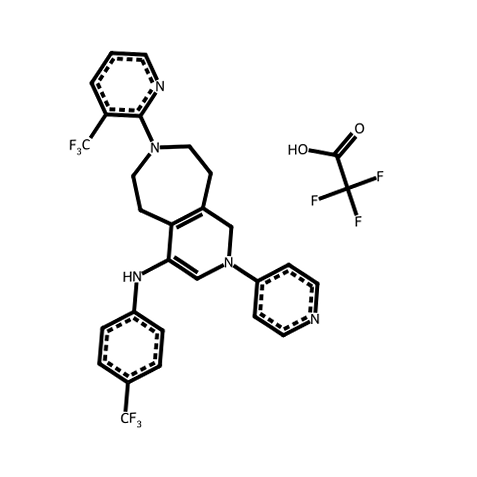 FC(F)(F)c1ccc(NC2=CN(c3ccncc3)CC3=C2CCN(c2ncccc2C(F)(F)F)CC3)cc1.O=C(O)C(F)(F)F